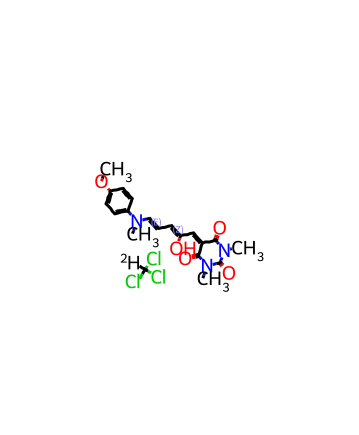 COc1ccc(N(C)/C=C/C=C(\O)C=C2C(=O)N(C)C(=O)N(C)C2=O)cc1.[2H]C(Cl)(Cl)Cl